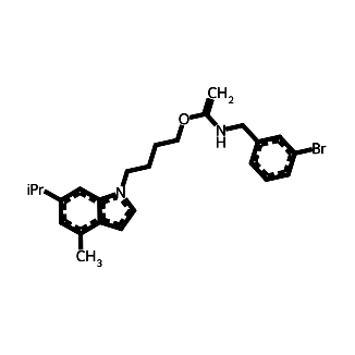 C=C(NCc1cccc(Br)c1)OCCCCn1ccc2c(C)cc(C(C)C)cc21